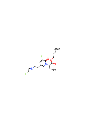 COCCCOC(=O)C(CC(C)C)n1cc(CCN2CC(F)C2)cc(F)c1=O